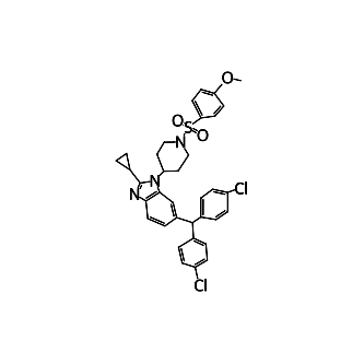 COc1ccc(S(=O)(=O)N2CCC(n3c(C4CC4)nc4ccc(C(c5ccc(Cl)cc5)c5ccc(Cl)cc5)cc43)CC2)cc1